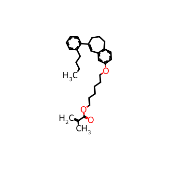 C=C(C)C(=O)OCCCCCCOc1ccc2c(c1)C=C(c1ccccc1CCCC)CCC2